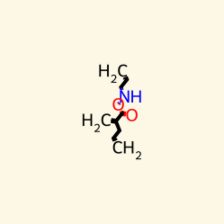 C=CCNOC(=O)C(=C)CC=C